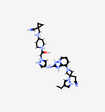 CCc1cnn(C2(CC#N)CN(c3cccn4nc(Nc5cnn(CC(=O)N6CCC(NCC7(C#N)CC7)CC6)c5)nc34)C2)c1